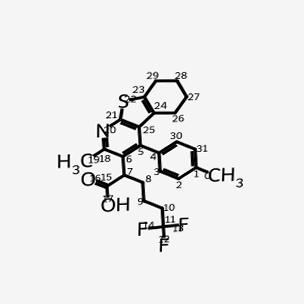 Cc1ccc(-c2c(C(CCCC(F)(F)F)C(=O)O)c(C)nc3sc4c(c23)CCCC4)cc1